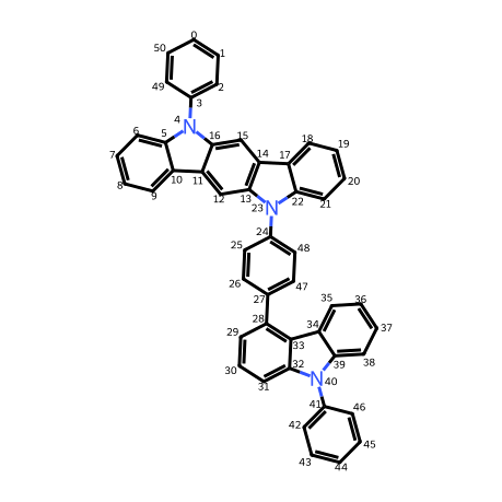 c1ccc(-n2c3ccccc3c3cc4c(cc32)c2ccccc2n4-c2ccc(-c3cccc4c3c3ccccc3n4-c3ccccc3)cc2)cc1